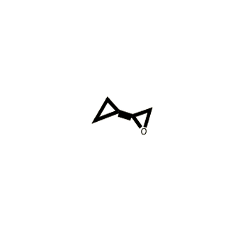 C1CC1=C1CO1